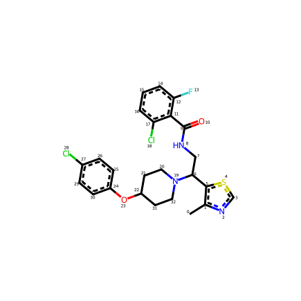 Cc1ncsc1C(CNC(=O)c1c(F)cccc1Cl)N1CCC(Oc2ccc(Cl)cc2)CC1